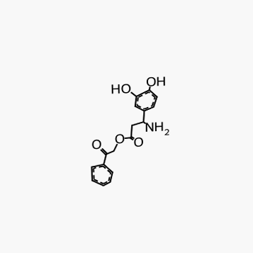 NC(CC(=O)OCC(=O)c1ccccc1)c1ccc(O)c(O)c1